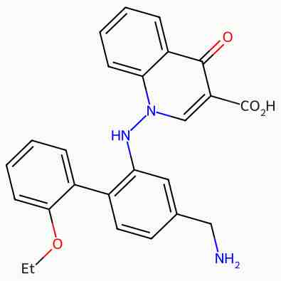 CCOc1ccccc1-c1ccc(CN)cc1Nn1cc(C(=O)O)c(=O)c2ccccc21